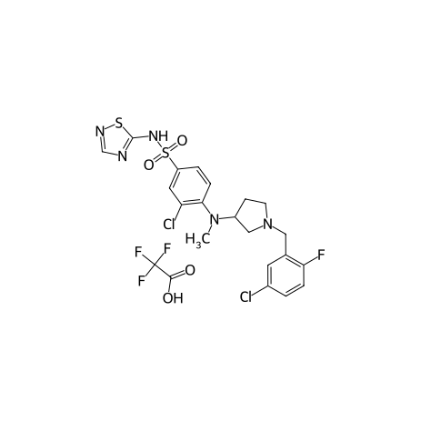 CN(c1ccc(S(=O)(=O)Nc2ncns2)cc1Cl)C1CCN(Cc2cc(Cl)ccc2F)C1.O=C(O)C(F)(F)F